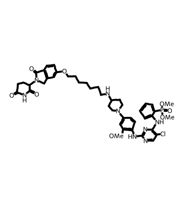 COc1cc(N2CCC(NCCCCCCCOc3ccc4c(c3)CN(C3CCC(=O)NC3=O)C4=O)CC2)ccc1Nc1ncc(Cl)c(Nc2ccccc2P(=O)(OC)OC)n1